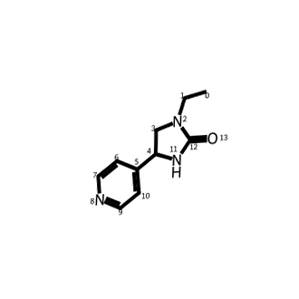 CCN1CC(c2ccncc2)NC1=O